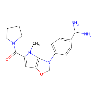 Cn1c(C(=O)N2CCCC2)cc2c1N(c1ccc(C(N)N)cc1)CO2